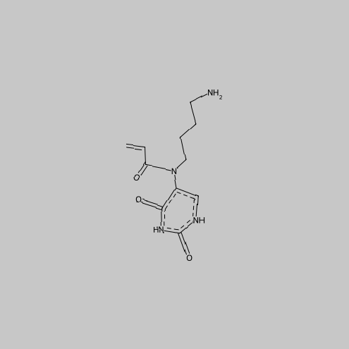 C=CC(=O)N(CCCCN)c1c[nH]c(=O)[nH]c1=O